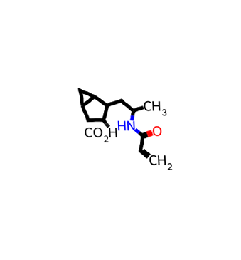 C=CC(=O)NC(C)CC1C(C(=O)O)CC2CC21